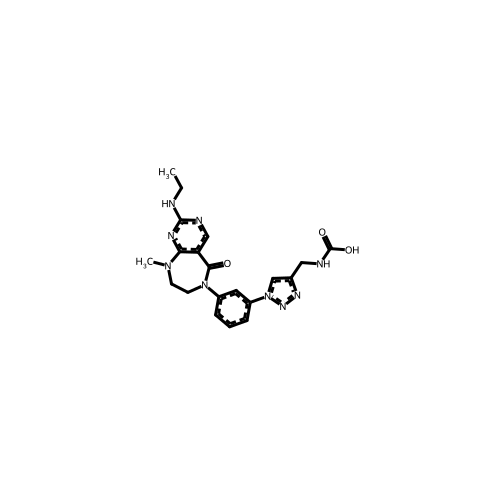 CCNc1ncc2c(n1)N(C)CCN(c1cccc(-n3cc(CNC(=O)O)nn3)c1)C2=O